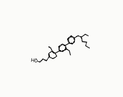 CCCCC(CC)Cc1ccc(-c2ccc(C3=C(CC)C=C(CCCO)CC3)cc2CC)cc1